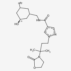 CCCC1CC(CNC(=O)c2cnn(CCC(C)(C)N3CCOC3=O)c2)C[C@@H](O)C1